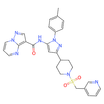 Cc1ccc(-n2nc(C3CCN(S(=O)(=O)Cc4cccnc4)CC3)cc2NC(=O)c2cnn3cccnc23)cc1